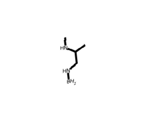 BNCC(C)NC